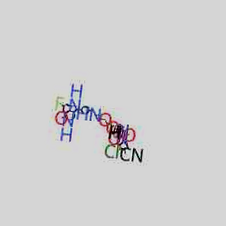 Cc1c(N2C(=O)[C@@H]3[C@H](OCCOCCNCc4ccc(-c5[nH]c6cc(F)cc7c6c5CCNC7=O)cc4)CCN3C2=O)ccc(C#N)c1Cl